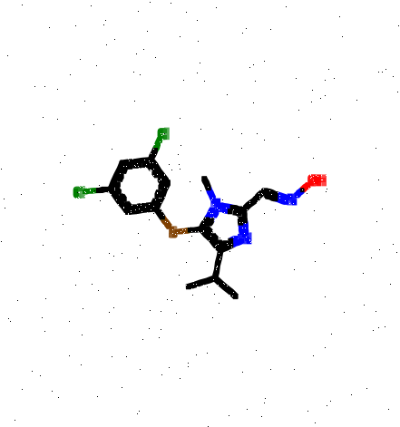 CC(C)c1nc(/C=N/O)n(C)c1Sc1cc(Cl)cc(Cl)c1